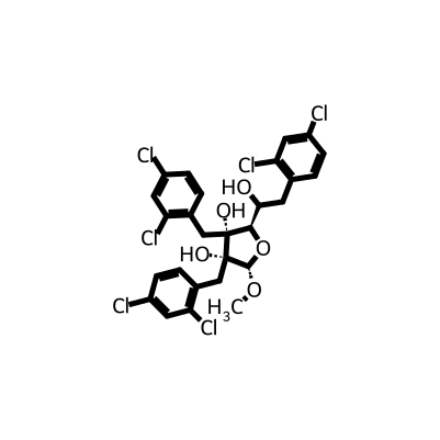 CO[C@H]1O[C@H](C(O)Cc2ccc(Cl)cc2Cl)[C@](O)(Cc2ccc(Cl)cc2Cl)[C@]1(O)Cc1ccc(Cl)cc1Cl